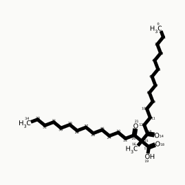 CCCCCCCCCCCCCC(=O)C(C)(C(=O)O)C(=O)CCCCCCCCCCCCC